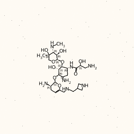 CN[C@@H]1[C@@H](O)[C@@H](O[C@@H]2[C@@H](O)[C@H](O[C@H]3OC(CNCC4CNC4)=CC[C@H]3N)[C@@H](N)C[C@H]2NC(=O)[C@@H](O)CN)OC[C@]1(C)O